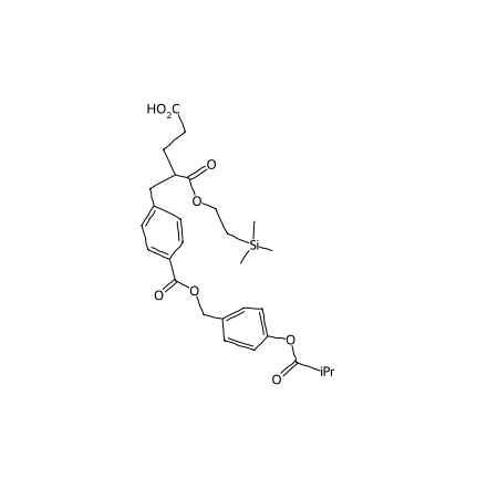 CC(C)C(=O)Oc1ccc(COC(=O)c2ccc(CC(CCC(=O)O)C(=O)OCC[Si](C)(C)C)cc2)cc1